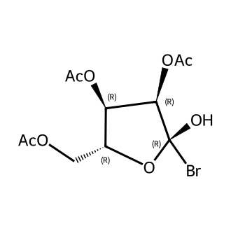 CC(=O)OC[C@H]1O[C@@](O)(Br)[C@H](OC(C)=O)[C@@H]1OC(C)=O